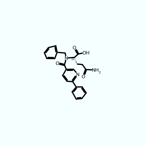 NC(=O)CC[C@@H](C(=O)O)N(Cc1ccccc1)C(=O)c1ccc(-c2ccccc2)nc1